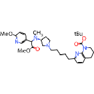 COC(=O)C(c1ccc(OC)nc1)N(C)[C@H]1CCN(CCCCCc2ccc3c(n2)N(C(=O)OC(C)(C)C)CCC3)C1